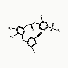 Cc1cc(CC(=O)Nc2ccc(S(N)(=O)=O)cc2Cl)cc(Oc2cc(Cl)cc(C#N)c2)c1C